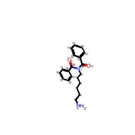 NCCCCCCN(C(=O)c1ccccc1)C(=O)c1ccccc1